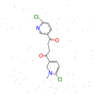 CN1CC(C(=O)CCC(=O)c2ccc(Cl)nc2)=CC=C1Cl